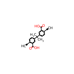 C#Cc1ccc(C(C)(C)c2ccc(C#C)c(C(=O)O)c2)cc1C(=O)O